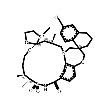 CC[C@@H]1[C@@H](C)CN2C[C@@]3(CCCc4cc(Cl)ccc43)COc3ccc(cc32)C(=O)NS(=O)(=O)[C@H](C)[C@@H](C)CCC[C@@]12OCCS2